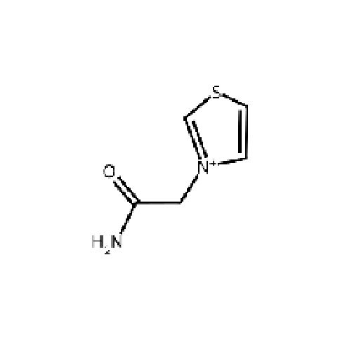 NC(=O)C[n+]1ccsc1